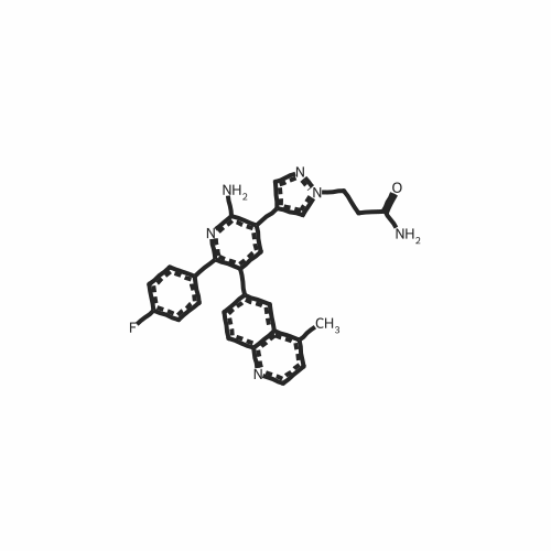 Cc1ccnc2ccc(-c3cc(-c4cnn(CCC(N)=O)c4)c(N)nc3-c3ccc(F)cc3)cc12